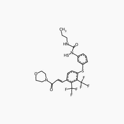 CCCNC(=O)N(S)c1cccc(Sc2ccc(C=CC(=O)N3CCOCC3)c(C(F)(F)F)c2C(F)(F)F)c1